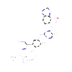 CCc1cc(N2CC[C@H]3CCN(CC4CC4)[C@H]3C2)c(/C(C=N)=C/NC)cc1Nc1ncc(Br)c(Nc2ccc3nccnc3c2P(C)(C)=O)n1